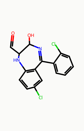 O=CC1Nc2ccc(Cl)cc2C(c2ccccc2Cl)=NC1O